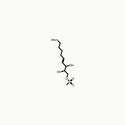 CCCCCCCCCCCCCC=CC(O)C(O)COS(C)(=O)=O